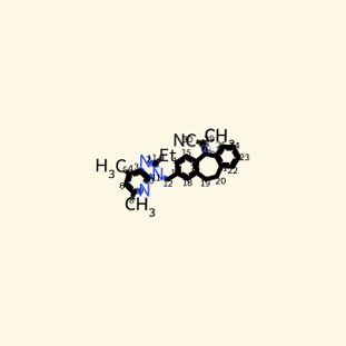 CCc1nc2c(C)cc(C)nc2n1Cc1ccc2c(c1)CCc1ccccc1/C2=C(\C)C#N